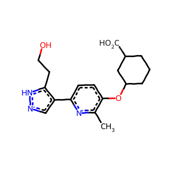 Cc1nc(-c2cn[nH]c2CCO)ccc1OC1CCCC(C(=O)O)C1